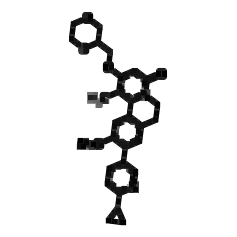 COc1cc2c(cc1-c1ccc(C3CC3)nc1)CCn1c-2c(C)c(OCC2COCCO2)cc1=O